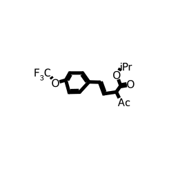 CC(=O)C(C=Cc1ccc(OC(F)(F)F)cc1)C(=O)OC(C)C